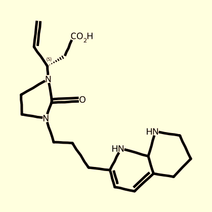 C=C[C@H](CC(=O)O)N1CCN(CCCC2=CC=C3CCCNC3N2)C1=O